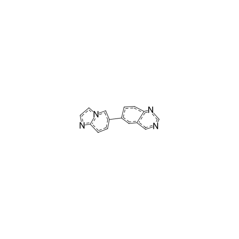 c1ncc2cc(-c3ccc4nccn4c3)ccc2n1